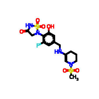 CS(=O)(=O)N1C=C(NCc2cc(O)c(N3CC(=O)NS3(=O)=O)c(F)c2)CCC1